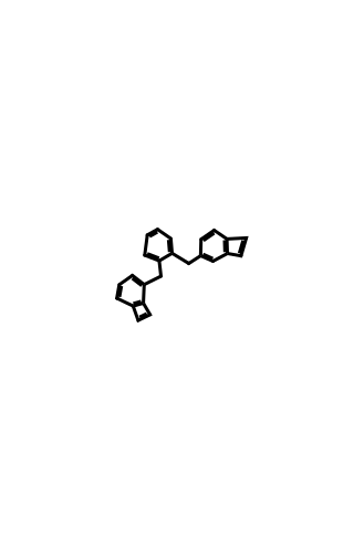 C1=Cc2cc(Cc3ccccc3Cc3cccc4c3C=C4)ccc21